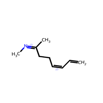 C=C/C=C\CC/C(C)=N\C